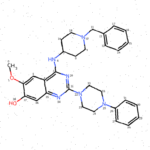 COc1cc2c(NC3CCN(Cc4ccccc4)CC3)nc(N3CCN(c4ccccc4)CC3)nc2cc1O